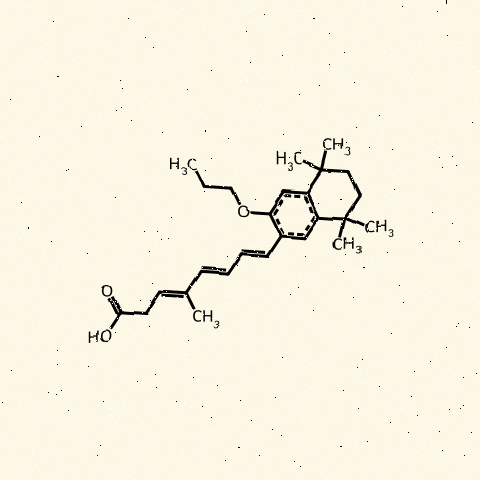 CCCOc1cc2c(cc1/C=C/C=C/C(C)=C/CC(=O)O)C(C)(C)CCC2(C)C